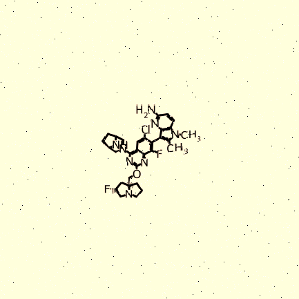 Cc1c(-c2c(Cl)cc3c(N4CC5CCC(C4)N5)nc(OC[C@@]45CCCN4C[C@H](F)C5)nc3c2F)c2nc(N)ccc2n1C